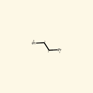 C[C](C)C[CH]C(C)C